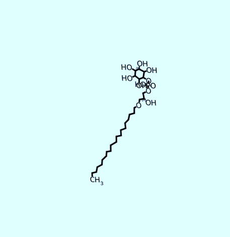 CCCCCCCCCCCCCCCCCCCCOC[C@@H](O)COP(=O)(O)OC1C(O)C(O)C(O)[C@@H](O)C1O